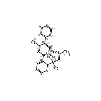 CC=CC(C)(CC)C1CC=CC=C1C(=N)/C=C(CC)\C(=C/CCCCC)c1ccccc1